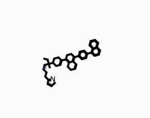 CCC(C)(/C=C\CCC1=NCC=C1)C1CC=C(C2=C3CCC=CC3=C(c3ccc(-c4cccc5ccccc45)cc3)CC2)CC1